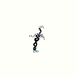 C=CCC/C=C\CCON1C(C)(C)CC(c2ccc(C3CCC(c4ccc(OC)cc4F)CC3)cc2F)CC1(C)C